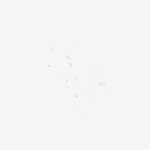 CC[C@@H]1CC(C)(C)[C@@](C)(CN(CCC(N)=O)C(=O)c2coc(CS(C)(=O)=O)n2)c2nnc(-c3c(F)cccc3F)cc21